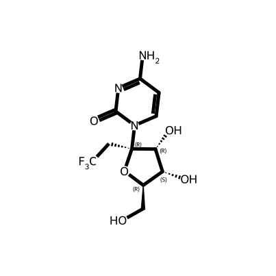 Nc1ccn([C@]2(CC(F)(F)F)O[C@H](CO)[C@@H](O)[C@H]2O)c(=O)n1